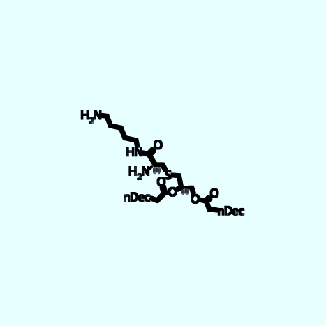 CCCCCCCCCCCC(=O)OC[C@H](CSC[C@H](N)C(=O)NCCCCCN)OC(=O)CCCCCCCCCCC